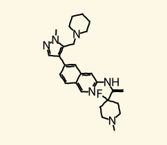 C=C(Nc1cc2cc(-c3cnn(C)c3CN3CCCCC3)ccc2cn1)C1(F)CCN(C)CC1